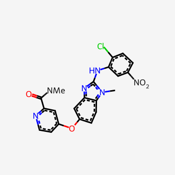 CNC(=O)c1cc(Oc2ccc3c(c2)nc(Nc2cc([N+](=O)[O-])ccc2Cl)n3C)ccn1